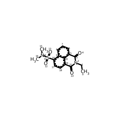 CCN1C(=O)c2cccc3c(S(=O)(=O)N(C)C)ccc(c23)C1=O